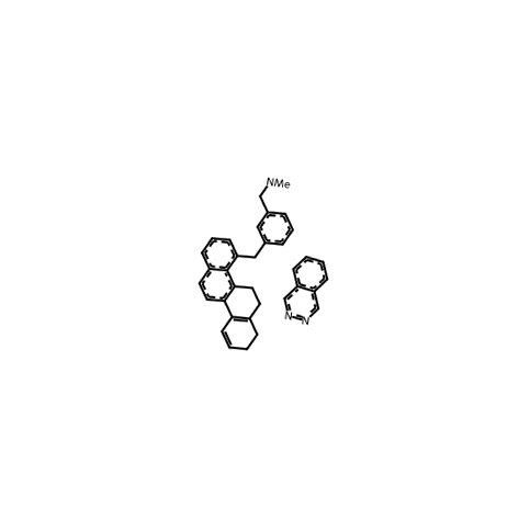 CNCc1cccc(Cc2cccc3ccc4c(c23)CCC2=C4C=CCC2)c1.c1ccc2cnncc2c1